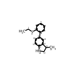 CCSc1ccccc1-c1ccc2c(c1)C(C)CN2